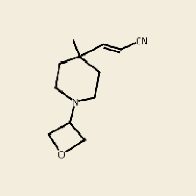 CC1(C=CC#N)CCN(C2COC2)CC1